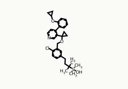 CC(C)(CCc1ccc(Cl)c(COC2(c3cnccc3-c3ccccc3OC3CC3)CC2)c1)[Si](C)(C)O